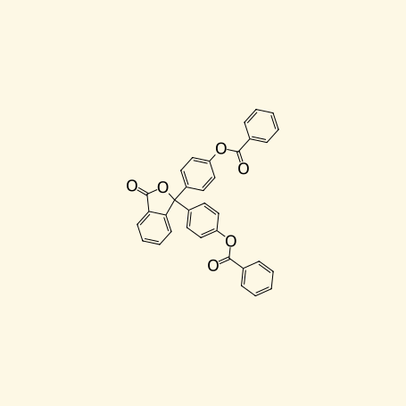 O=C(Oc1ccc(C2(c3ccc(OC(=O)c4ccccc4)cc3)OC(=O)c3ccccc32)cc1)c1ccccc1